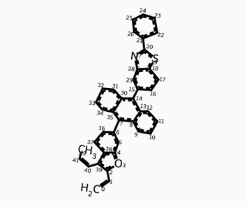 C=Cc1oc2cc(-c3c4ccccc4c(-c4ccc5sc(-c6ccccc6)nc5c4)c4ccccc34)ccc2c1/C=C\C